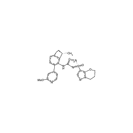 COc1cc(-c2ccc3c(c2NC(=O)N=[S@@](N)(=O)c2cnn4c2OCCC4)[C@@H](C)C3)ccn1